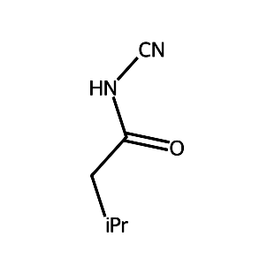 CC(C)CC(=O)NC#N